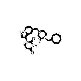 C[C@H]1CN(Cc2ccn3ncc(N4CCC(=O)NC4=O)c3c2)CCN1CC1CCCCCC1